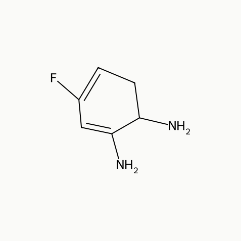 NC1=CC(F)=CCC1N